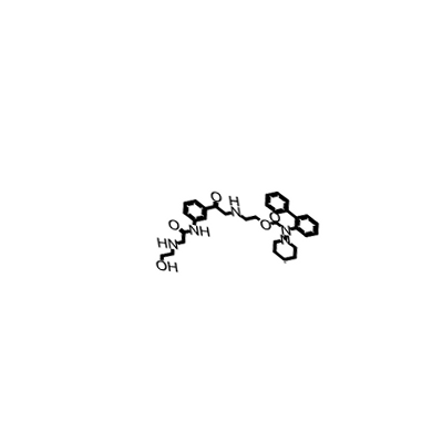 O=C(CNCCO)Nc1cccc(C(=O)CNCCOC(=O)N(c2ccccc2-c2ccccc2)N2CC[CH]CC2)c1